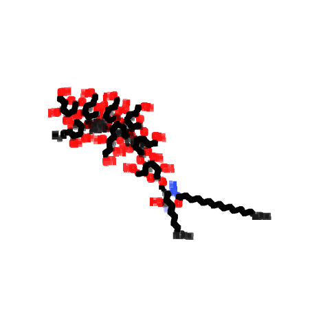 CCCCCCCCCCCCC/C=C/[C@@H](O)[C@H](CO[C@@H]1OC(CO)[C@@H](O[C@@H]2OC(CO)[C@H](O[C@@H]3OC(CO)[C@H](O)[C@H](O[C@@H]4OC(CO)[C@H](O)[C@H](O[C@@H]5OC(CO)[C@@H](O[C@@H]6OC(CO)[C@H](O)[C@H](O)C6O)[C@H](O[C@H]6OC(C)[C@@H](O)C(O)[C@@H]6O)C5NC(C)=O)C4O)C3NC(C)=O)[C@H](O[C@]3(C(=O)O)CC(O)[C@@H](NC(C)=O)C([C@H](O)[C@H](O)CO)O3)C2O)[C@H](O)C1O)NC(=O)CCCCCCCCCCCCCCCCCCCCCCC